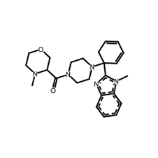 CN1CCOCC1C(=O)N1CCN(C2(c3nc4ccccc4n3C)C=CC=CC2)CC1